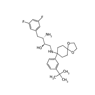 CC(C)(C)c1cccc(C2(NC[C@@H](O)[C@@H](N)Cc3cc(F)cc(F)c3)CCC3(CC2)OCCO3)c1